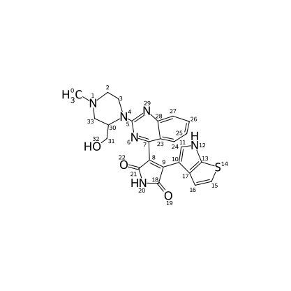 CN1CCN(c2nc(C3=C(c4c[nH]c5sccc45)C(=O)NC3=O)c3ccccc3n2)C(CO)C1